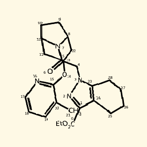 CCOC(=O)c1nn(CC(=O)N2C3CCC2CC(Oc2ncccc2C)C3)c2c1CCCC2